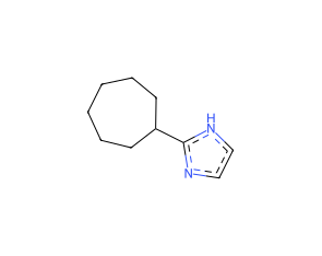 c1c[nH]c(C2CCCCCC2)n1